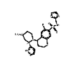 O=S(=O)(Nc1nccs1)c1cc2c(cc1F)C(N1CC[C@H](C(F)(F)F)C[C@@H]1c1ccn[nH]1)CCO2